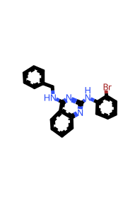 Brc1ccccc1Nc1nc(NCc2ccccc2)c2ccccc2n1